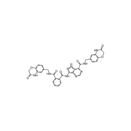 O=C1COc2ccc(CNC(=O)c3ccccc3C(=O)Nc3n[nH]c4c(C(=O)NCc5ccc6c(c5)NC(=O)CO6)ncnc34)cc2N1